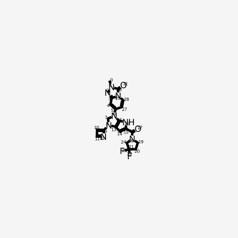 Cn1nc2cc(N3CN(C4=CC=N4)c4cc(C(=O)N5CCC(F)(F)C5)[nH]c43)ccn2c1=O